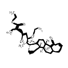 CCOC(=O)C(C)=C(C)CC(OCC)[C@@H](C)[C@H]1CC[C@H]2[C@@H]3CCC4CC=CC(=O)[C@]4(C)[C@H]3CC[C@]12C